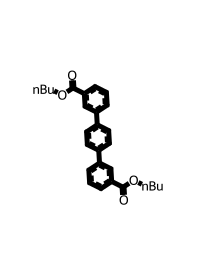 CCCCOC(=O)c1cccc(-c2ccc(-c3cccc(C(=O)OCCCC)c3)cc2)c1